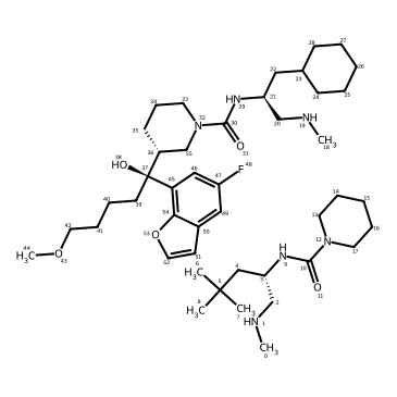 CNC[C@H](CC(C)(C)C)NC(=O)N1CCCCC1.CNC[C@H](CC1CCCCC1)NC(=O)N1CCC[C@@H]([C@@](O)(CCCCOC)c2cc(F)cc3ccoc23)C1